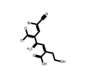 C=C(C=C(CCO)C(=O)O)C(C=C(Br)C#N)=C(Cl)Cl